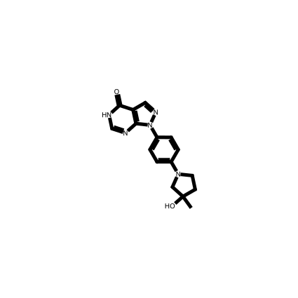 CC1(O)CCN(c2ccc(-n3ncc4c(=O)[nH]cnc43)cc2)C1